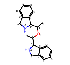 CC(OC(C)C1NCc2ccccc21)C1NCc2ccccc21